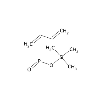 C=CC=C.C[Si](C)(C)OP=O